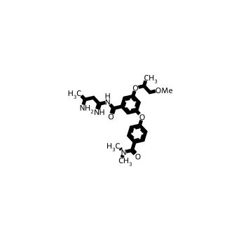 COCC(C)Oc1cc(Oc2ccc(C(=O)N(C)C)cc2)cc(C(=O)NC(=N)CC(C)N)c1